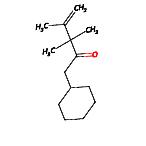 C=C(C)C(C)(C)C(=O)CC1CCCCC1